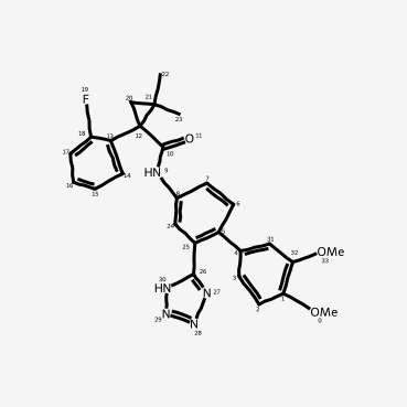 COc1ccc(-c2ccc(NC(=O)C3(c4ccccc4F)CC3(C)C)cc2-c2nnn[nH]2)cc1OC